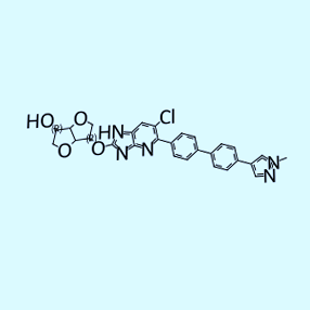 Cn1cc(-c2ccc(-c3ccc(-c4nc5nc(O[C@@H]6COC7C6OC[C@H]7O)[nH]c5cc4Cl)cc3)cc2)cn1